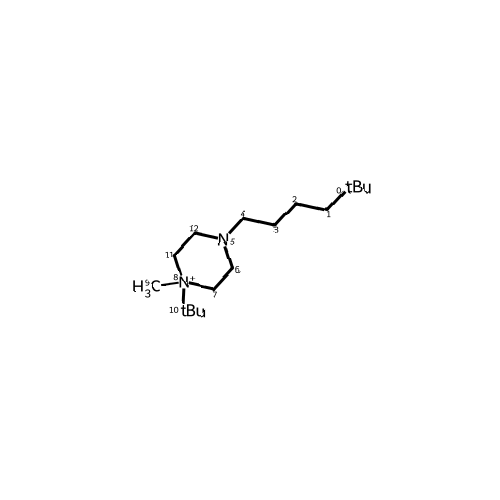 CC(C)(C)CCCCN1CC[N+](C)(C(C)(C)C)CC1